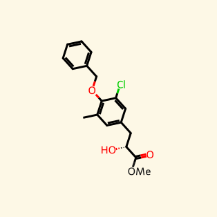 COC(=O)[C@H](O)Cc1cc(C)c(OCc2ccccc2)c(Cl)c1